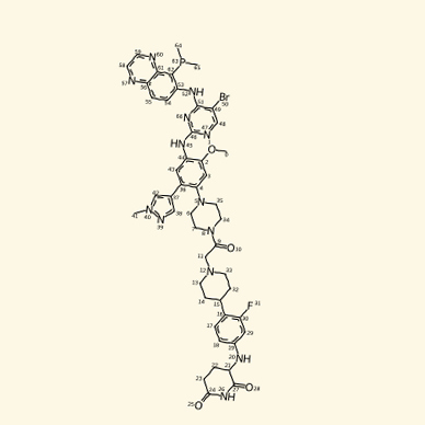 COc1cc(N2CCN(C(=O)CN3CCC(c4ccc(NC5CCC(=O)NC5=O)cc4F)CC3)CC2)c(-c2cnn(C)c2)cc1Nc1ncc(Br)c(Nc2ccc3nccnc3c2P(C)C)n1